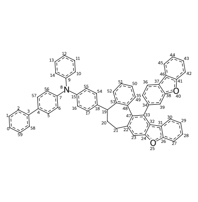 c1ccc(-c2ccc(N(c3ccccc3)c3ccc(C4CCc5cc6oc7ccccc7c6c(-c6ccc7c(c6)oc6ccccc67)c5-c5ccccc54)cc3)cc2)cc1